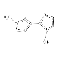 Cc1ccc(-c2nccn2C)s1